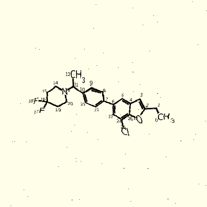 CCc1cc2cc(-c3ccc(C(C)N4CCC(F)(F)CC4)cc3)cc(Cl)c2o1